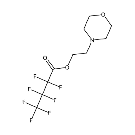 O=C(OCCN1CCOCC1)C(F)(F)C(F)(F)C(F)(F)F